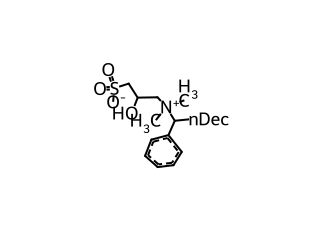 CCCCCCCCCCC(c1ccccc1)[N+](C)(C)CC(O)CS(=O)(=O)[O-]